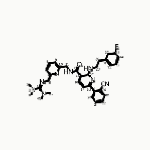 CN(C)C(=NCc1cccc(CNC(=O)c2ccc(-c3ccccc3C#N)nc2NCCc2cccc(F)c2)n1)N(C)C